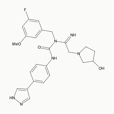 COc1cc(F)cc(CN(C(=N)CN2CCC(O)C2)C(=O)Nc2ccc(-c3cn[nH]c3)cc2)c1